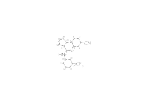 N#Cc1ccc2c(c1)nc(Nc1cccc(C(F)(F)F)c1)c1cscc12